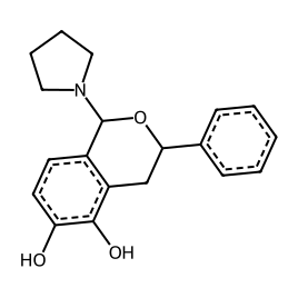 Oc1ccc2c(c1O)CC(c1ccccc1)OC2N1CCCC1